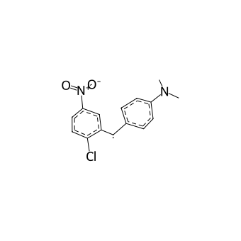 CN(C)c1ccc([CH]c2cc([N+](=O)[O-])ccc2Cl)cc1